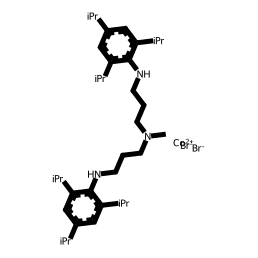 CC(C)c1cc(C(C)C)c(NCCCN(C)CCCNc2c(C(C)C)cc(C(C)C)cc2C(C)C)c(C(C)C)c1.[Br-].[Br-].[Co+2]